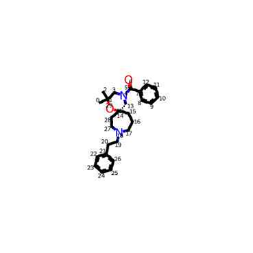 CC1(C)CN(C(=O)c2ccccc2)C[C@@]2(CCCN(CCc3ccccc3)CC2)O1